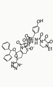 CCN1CCN(C(=O)N[C@H](C(=O)N[C@]2(OC)C(=O)N3C(C(=O)OC(c4ccccc4)c4ccccc4)=C(CSc4nnnn4C)C[S+]([O-])[C@H]32)c2ccc(O)cc2)C(=O)C1=O